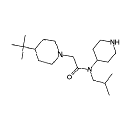 CC(C)CN(C(=O)CN1CCC(C(C)(C)C)CC1)C1CCNCC1